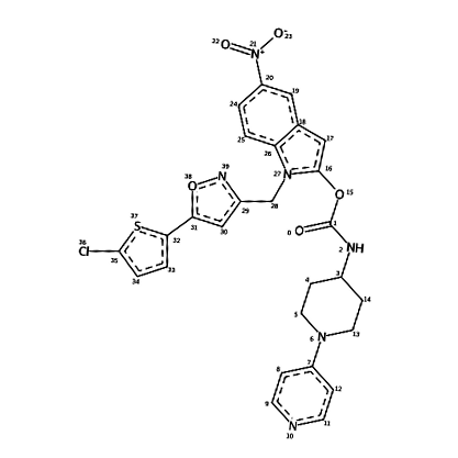 O=C(NC1CCN(c2ccncc2)CC1)Oc1cc2cc([N+](=O)[O-])ccc2n1Cc1cc(-c2ccc(Cl)s2)on1